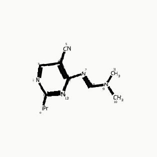 CC(C)c1ncc(C#N)c(N=CN(C)C)n1